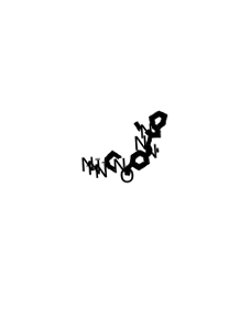 CCn1c(-c2nc3cc(C(=O)N4CC=CC(N=[N+]=[N-])C4)ccc3n2C)cc2ccccc21